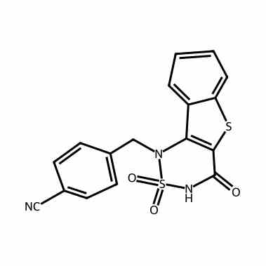 N#Cc1ccc(CN2c3c(sc4ccccc34)C(=O)NS2(=O)=O)cc1